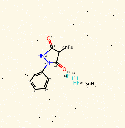 CCCCC1C(=O)NN(c2ccccc2)C1=O.F.F.F.[SnH2]